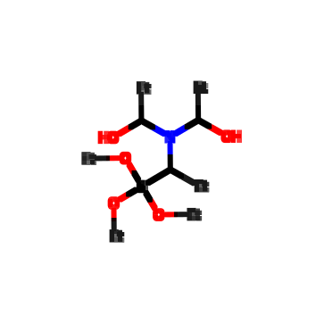 CCO[Si](OCC)(OCC)C(CC)N(C(O)CC)C(O)CC